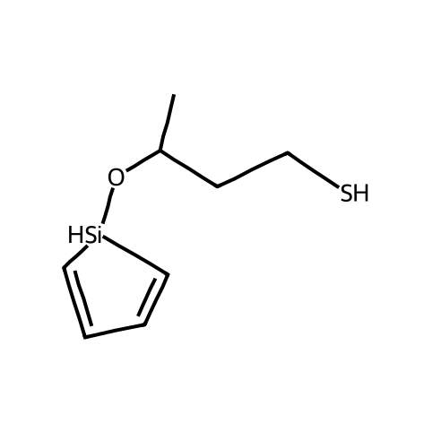 CC(CCS)O[SiH]1C=CC=C1